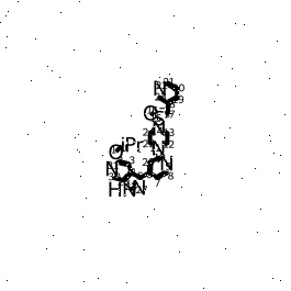 CC(C)Oc1cc2c(-c3ccnc(N4CCN([S+]([O-])Cc5cccnc5)CC4)c3)n[nH]c2cn1